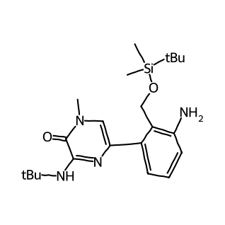 Cn1cc(-c2cccc(N)c2CO[Si](C)(C)C(C)(C)C)nc(NC(C)(C)C)c1=O